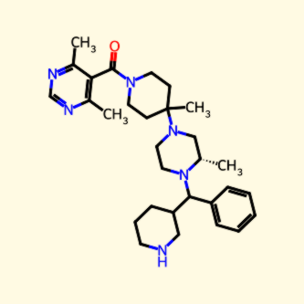 Cc1ncnc(C)c1C(=O)N1CCC(C)(N2CCN(C(c3ccccc3)C3CCCNC3)[C@@H](C)C2)CC1